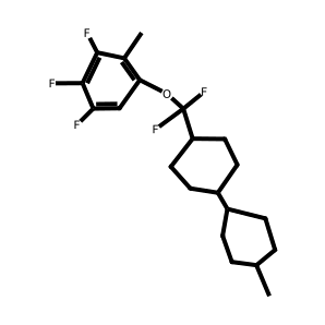 Cc1c(OC(F)(F)C2CCC(C3CCC(C)CC3)CC2)cc(F)c(F)c1F